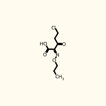 CCCON=C(C(=O)O)C(=O)CCCl